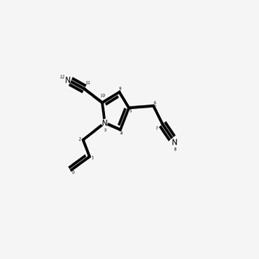 C=CCn1cc([CH]C#N)cc1C#N